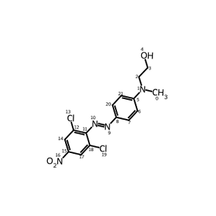 CN(CCO)c1ccc(/N=N/c2c(Cl)cc([N+](=O)[O-])cc2Cl)cc1